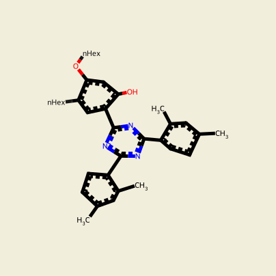 CCCCCCOc1cc(O)c(-c2nc(-c3ccc(C)cc3C)nc(-c3ccc(C)cc3C)n2)cc1CCCCCC